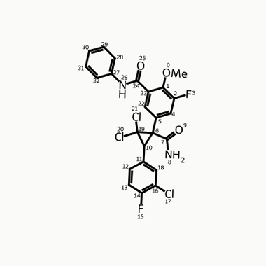 COc1c(F)cc(C2(C(N)=O)C(c3ccc(F)c(Cl)c3)C2(Cl)Cl)cc1C(=O)Nc1ccccc1